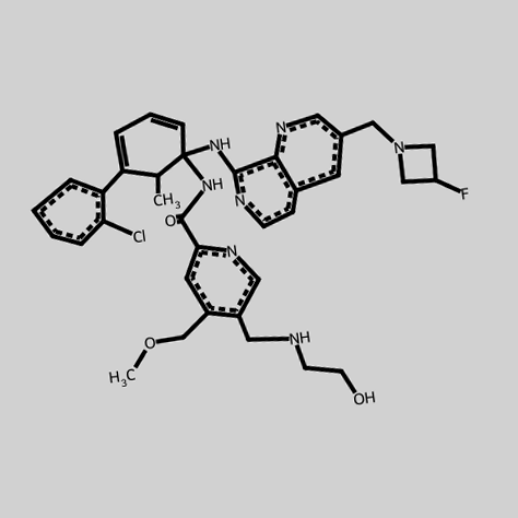 COCc1cc(C(=O)NC2(Nc3nccc4cc(CN5CC(F)C5)cnc34)C=CC=C(c3ccccc3Cl)C2C)ncc1CNCCO